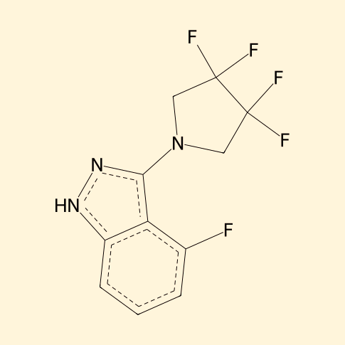 Fc1cccc2[nH]nc(N3CC(F)(F)C(F)(F)C3)c12